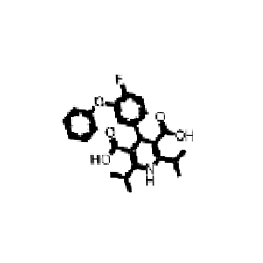 CC(C)C1=C(C(=O)O)C(c2ccc(F)c(Oc3ccccc3)c2)C(C(=O)O)=C(C(C)C)N1